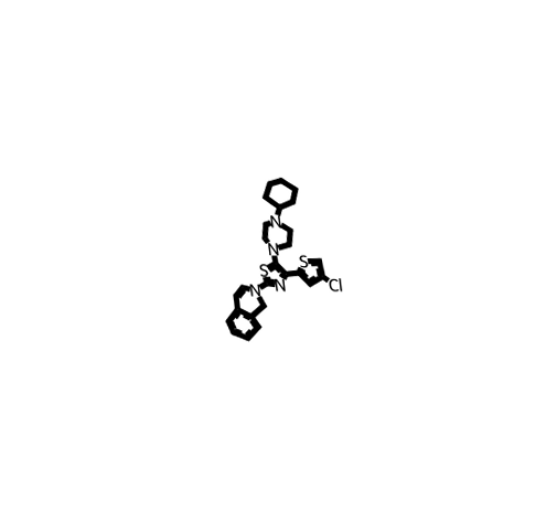 Clc1csc(-c2nc(N3C=Cc4ccccc4C3)sc2N2CCN(C3CCCCC3)CC2)c1